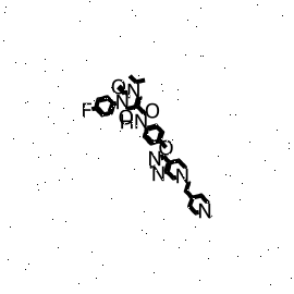 CC(C)n1cc(C(=O)Nc2ccc(Oc3ncnc4c3CCN(CCC3CCN(C)CC3)C4)cc2)c(=O)n(-c2ccc(F)cc2)c1=O